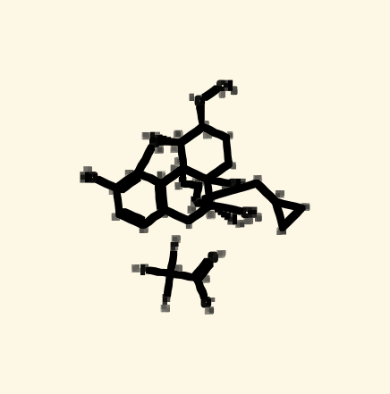 CO[C@H]1CCC2(O)[C@H]3Cc4ccc(O)c5c4[C@@]2(CC[N+]3(C)CC2CC2)[C@H]1O5.O=C([O-])C(F)(F)F